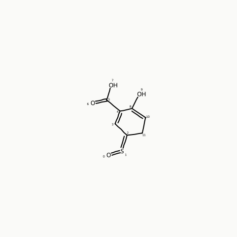 O=S=C1C=C(C(=O)O)C(O)=CC1